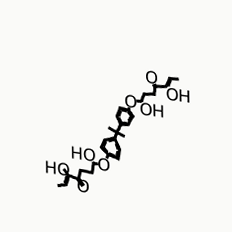 CC=C(O)C(=O)CCC(O)Oc1ccc(C(C)(C)c2ccc(OC(O)CCC(=O)C(O)=CC)cc2)cc1